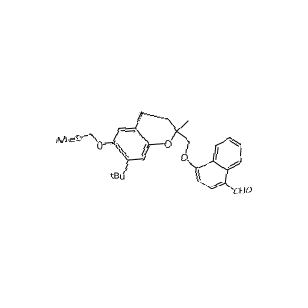 COCOc1cc2c(cc1C(C)(C)C)OC(C)(COc1ccc(C=O)c3ccccc13)CC2